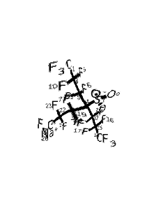 O=S(=O)([O-])C(C(F)(F)C(F)(F)C(F)(F)F)(C(F)(F)C(F)(F)C(F)(F)F)C(F)(F)C(F)(F)C(F)(F)F.[Na+]